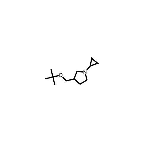 CC(C)(C)OCC1CCN(C2CC2)C1